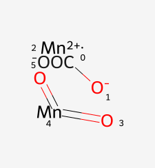 O=C([O-])[O-].[Mn+2].[O]=[Mn]=[O]